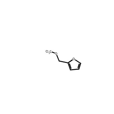 ClC(Cl)(Cl)OCc1ccco1